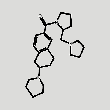 O=C(c1ccc2c(c1)CCC(N1CCCCC1)C2)N1CCCC1CN1CCCC1